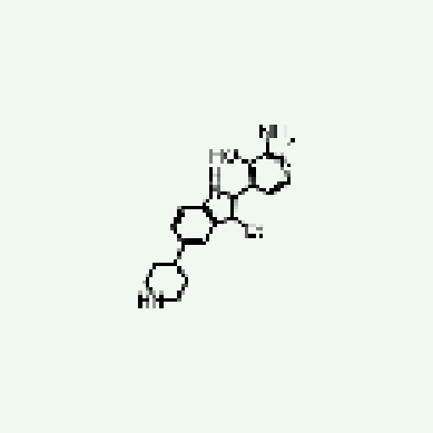 CCc1c(-c2ccnc(N)c2O)[nH]c2ccc(C3CCNCC3)cc12